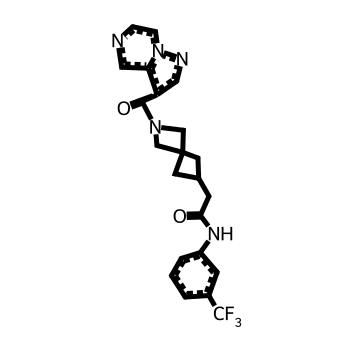 O=C(CC1CC2(C1)CN(C(=O)c1cnn3ccncc13)C2)Nc1cccc(C(F)(F)F)c1